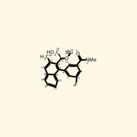 CNC(=O)c1cc(F)cc(-c2c([C@H](OC(C)(C)C)C(=O)O)c(C)cc3ccccc23)c1